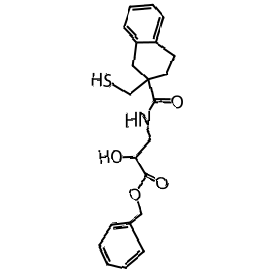 O=C(OCc1ccccc1)C(O)CNC(=O)C1(CS)CCc2ccccc2C1